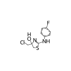 OC1(CCl)CSC(Nc2ccc(F)cc2)=N1